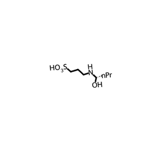 CCC[C@H](O)NCCCS(=O)(=O)O